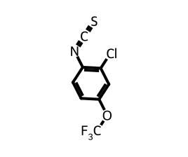 FC(F)(F)Oc1ccc(N=C=S)c(Cl)c1